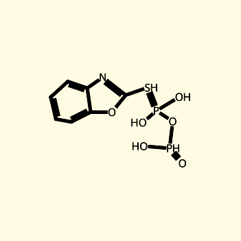 O=[PH](O)OP(O)(O)=[SH]c1nc2ccccc2o1